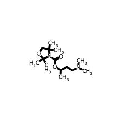 CC(CCN(C)C)OC(=O)N1C(C)(C)COC1(C)C